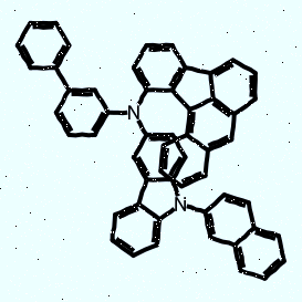 c1ccc(-c2cccc(N(c3ccc4c(c3)c3ccccc3n4-c3ccc4ccccc4c3)c3cccc4c3-c3c5ccccc5cc5cccc-4c35)c2)cc1